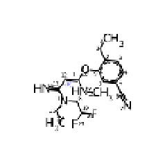 CCc1ccc(C#N)cc1O/C(=C/C(=N)N(CC)CC(F)F)NC